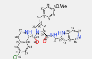 COc1ccc(C[C@@H]2C[C@@H](C(=O)NCc3cc4cnccc4[nH]3)N(C(=O)C3NCCc4cc(Cl)ccc43)C2)cc1